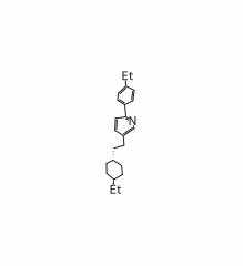 CCc1ccc(-c2ccc(CC[C@H]3CC[C@H](CC)CC3)cn2)cc1